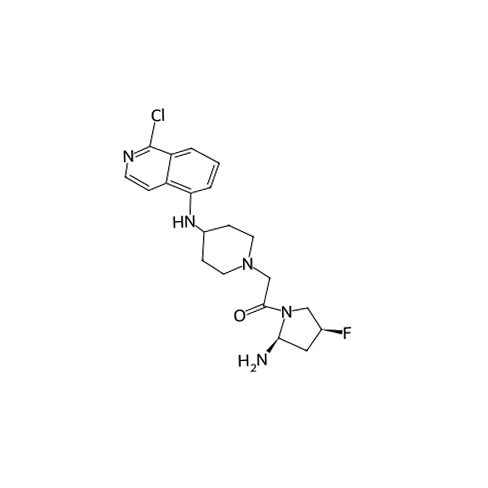 N[C@@H]1C[C@H](F)CN1C(=O)CN1CCC(Nc2cccc3c(Cl)nccc23)CC1